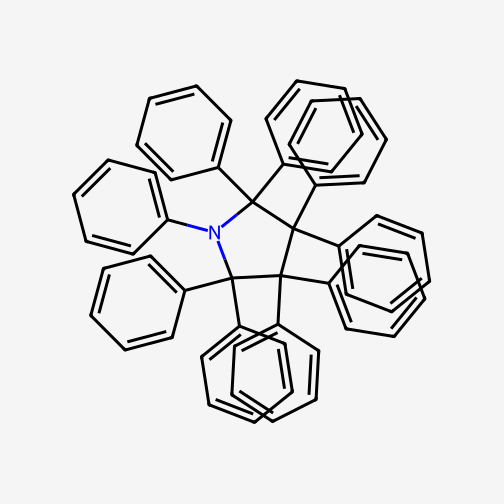 c1ccc(N2C(c3ccccc3)(c3ccccc3)C(c3ccccc3)(c3ccccc3)C(c3ccccc3)(c3ccccc3)C2(c2ccccc2)c2ccccc2)cc1